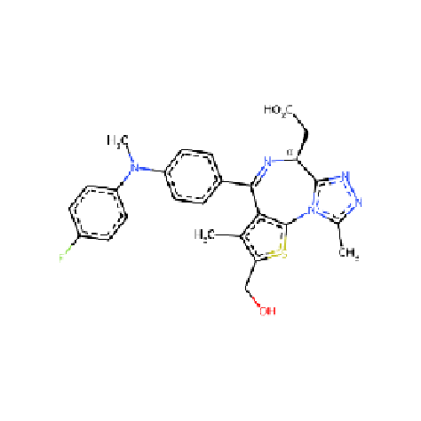 Cc1c(CO)sc2c1C(c1ccc(N(C)c3ccc(F)cc3)cc1)=N[C@@H](CC(=O)O)c1nnc(C)n1-2